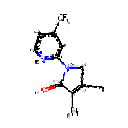 CCC1=C(C)CN(c2cc(C(F)(F)F)ccn2)C1=O